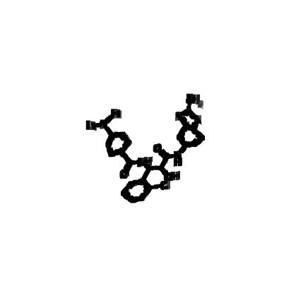 CCN(CC)c1ccc(C(=O)NC(c2ccccc2Cl)C(O)C(=O)Nc2ccc3nc(N)sc3c2)cc1